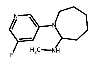 CNC1CCCCCN1c1cncc(F)c1